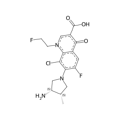 C[C@H]1CN(c2c(F)cc3c(=O)c(C(=O)O)cn(CCF)c3c2Cl)C[C@H]1N